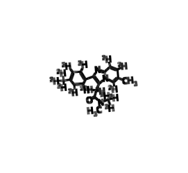 [2H]c1c([2H])c(C([2H])([2H])[2H])c([2H])c([2H])c1-c1nc2c([2H])c([2H])c(C)c([2H])n2c1C([2H])([2H])C(=O)N(C)C([2H])([2H])[2H]